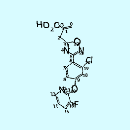 C=C(Cc1nc(-c2ccc(Oc3ncccc3F)cc2Cl)no1)C(=O)O